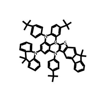 CC(C)(C)c1ccc(N2c3ccc(C(C)(C)C)cc3B3c4sc5cc6c(cc5c4N(c4ccc(C(C)(C)C)cc4)c4cc(N5c7ccccc7C(C)(C)c7ccccc75)cc2c43)-c2ccccc2C6(C)C)cc1